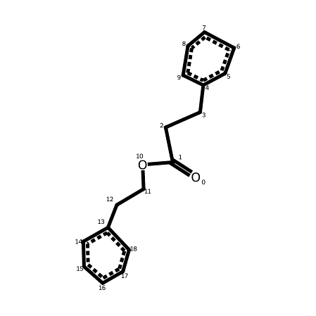 O=C(CCc1ccccc1)OCCc1ccccc1